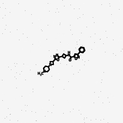 CN1CCC(N2CC(c3nnc(C4CC(NC(=O)c5cc(-c6ccccc6)no5)C4)o3)C2)CC1